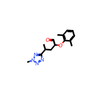 Cc1cccc(C)c1OC(C=O)CC(C)c1nnn(C)n1